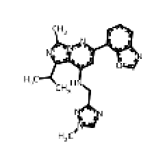 Cc1nc(C(C)C)c2c(NCc3ncn(C)n3)cc(-c3cccc4ncoc34)nn12